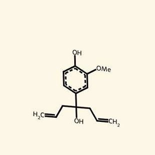 C=CCC(O)(CC=C)c1ccc(O)c(OC)c1